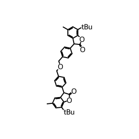 Cc1cc2c(c(C(C)(C)C)c1)OC(=O)C2c1ccc(COCc2ccc(C3C(=O)Oc4c3cc(C)cc4C(C)(C)C)cc2)cc1